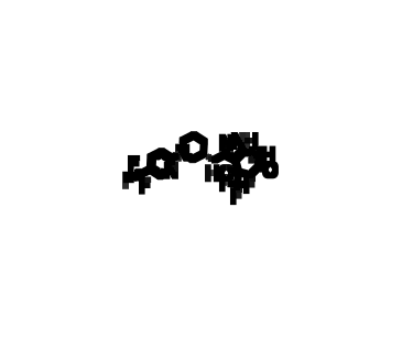 O=C1CC(O)(C(F)(F)F)c2c(C[C@H]3CCCN(c4ccc(C(F)(F)F)cn4)C3)n[nH]c2N1